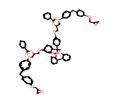 CC(c1ccc(OCC(COc2ccc(Cc3ccc(OCC4CO4)cc3)cc2)OC(=O)c2ccccc2)cc1)(c1ccc(OCC(COc2ccc(Cc3ccc(OCC4CO4)cc3)cc2)OC(=O)c2ccccc2)cc1)P1(=O)Oc2ccccc2-c2ccccc21